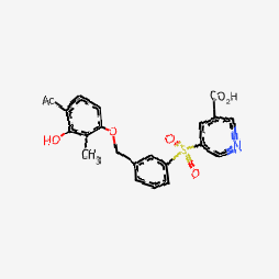 CC(=O)c1ccc(OCc2cccc(S(=O)(=O)c3cncc(C(=O)O)c3)c2)c(C)c1O